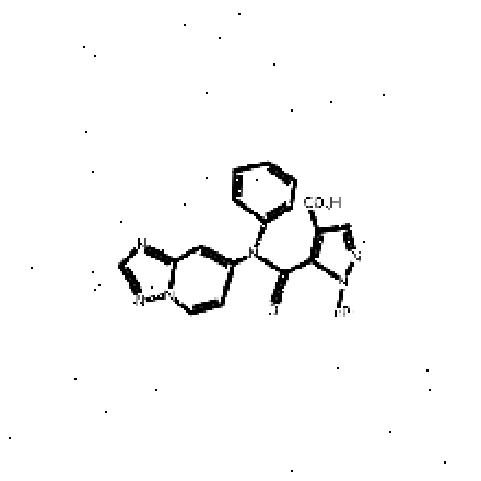 CCCn1ncc(C(=O)O)c1C(=O)N(c1ccccc1)c1ccn2ncnc2c1